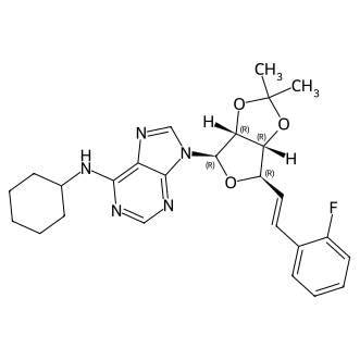 CC1(C)O[C@@H]2[C@H](O1)[C@@H](C=Cc1ccccc1F)O[C@H]2n1cnc2c(NC3CCCCC3)ncnc21